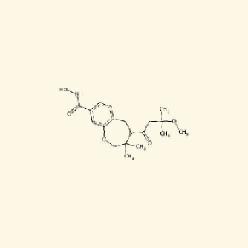 COC(C)(C)CC(=O)N1Cc2ccc(C(=O)NO)cc2OCC1(C)C